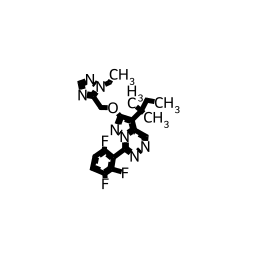 CCn1ncnc1COc1nn2c(-c3c(F)ccc(F)c3F)nncc2c1C(C)(C)CC